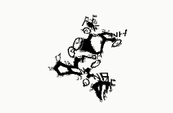 O=C(NC1(C(F)(F)F)CC1)C(=O)N1CC2CCCC2C1C(=O)NC(CC1CCNC1=O)C(=O)COC(F)(F)F